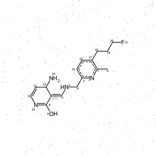 Cc1nc(CN/C=C2/C(O)=NC=CC2N)ccc1CCCF